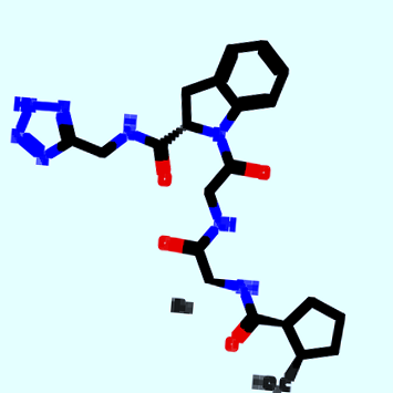 CC[C@H](C)[C@H](NC(=O)[C@H]1CCC[C@H]1C(=O)O)C(=O)NCC(=O)N1c2ccccc2C[C@H]1C(=O)NCc1nn[nH]n1